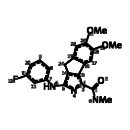 CNC(=O)n1nc(Nc2cccc(F)c2)c2c1-c1cc(OC)c(OC)cc1C2